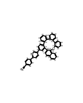 N#Cc1ccc(-c2ccc(-c3ccc4c(c3)-c3ccc5ccccc5c3Oc3ccccc3-c3ccccc3-c3ccccc3-4)cn2)cc1